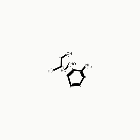 Nc1ccccc1.O=CO.OCCO